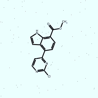 COC(=O)c1ccc(-c2ccnc(Cl)n2)c2cc[nH]c12